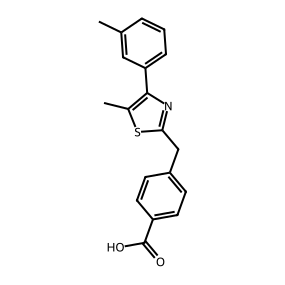 Cc1cccc(-c2nc(Cc3ccc(C(=O)O)cc3)sc2C)c1